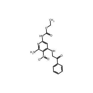 CCOC(=O)Nc1cc(NCC(=O)c2ccccc2)c([N+](=O)[O-])c(N)n1